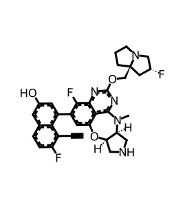 C#Cc1c(F)ccc2cc(O)cc(-c3cc4c5c(nc(OC[C@@]67CCCN6C[C@H](F)C7)nc5c3F)N(C)[C@H]3CNC[C@H]3O4)c12